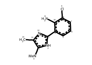 CNc1[nH]c(-c2cccc(Cl)c2N)nc1C